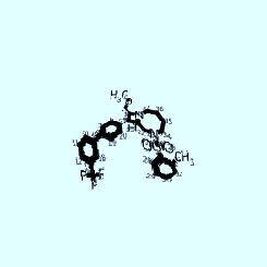 COC[C@@H]1[C@@H](c2ccc(-c3cccc(C(F)(F)F)c3)cc2)[C@@H]2CN(S(=O)(=O)c3ccccc3C)CCCCN12